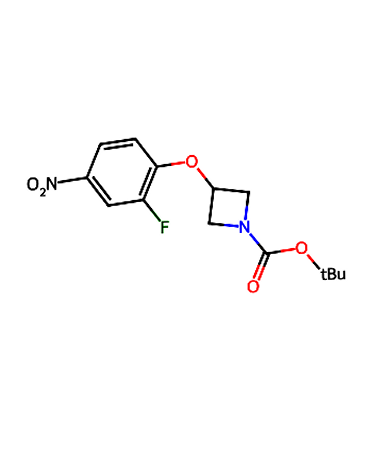 CC(C)(C)OC(=O)N1CC(Oc2ccc([N+](=O)[O-])cc2F)C1